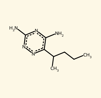 CCCC(C)c1nnc(N)nc1N